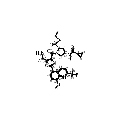 CCOC(=O)[C@@H]1C[C@H](NC(=O)C2CC2)CN1C(=O)c1nc(-c2ccc(OC)c3nc(C(F)(F)F)ccc23)oc1[C@H](C)N